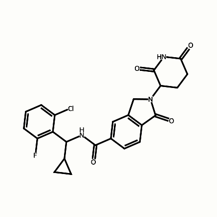 O=C1CCC(N2Cc3cc(C(=O)NC(c4c(F)cccc4Cl)C4CC4)ccc3C2=O)C(=O)N1